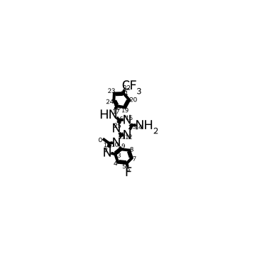 Cc1nc2cc(F)ccc2n1-c1nc(N)nc(Nc2ccc(C(F)(F)F)cc2)n1